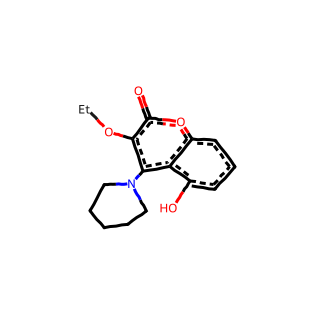 CCOc1c(N2CCCCC2)c2c(O)cccc2oc1=O